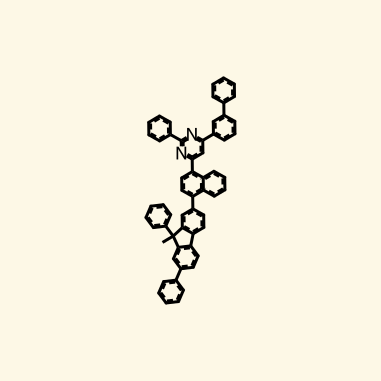 CC1(c2ccccc2)c2cc(-c3ccccc3)ccc2-c2ccc(-c3ccc(-c4cc(-c5cccc(-c6ccccc6)c5)nc(-c5ccccc5)n4)c4ccccc34)cc21